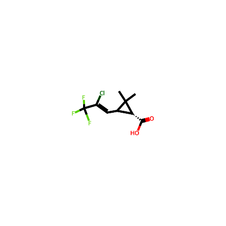 CC1(C)C(C=C(Cl)C(F)(F)F)[C@H]1C(=O)O